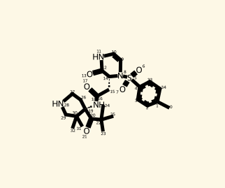 Cc1ccc(S(=O)(=O)N2C=CNC(=O)[C@H]2CC(=O)N[C@@]2(C(=O)C(C)(C)C)CCNCC2(C)C)cc1